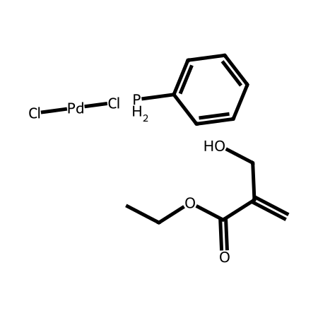 C=C(CO)C(=O)OCC.Pc1ccccc1.[Cl][Pd][Cl]